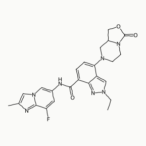 CCn1cc2c(N3CCN4C(=O)OCC4C3)ccc(C(=O)Nc3cc(F)c4nc(C)cn4c3)c2n1